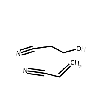 C=CC#N.N#CCCO